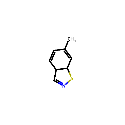 CC1=CC2SN=CC2C=C1